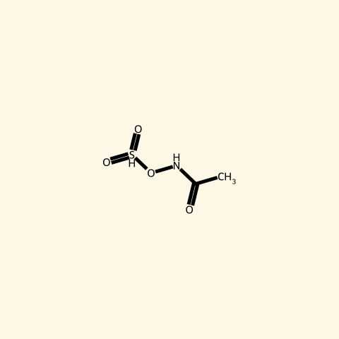 CC(=O)NO[SH](=O)=O